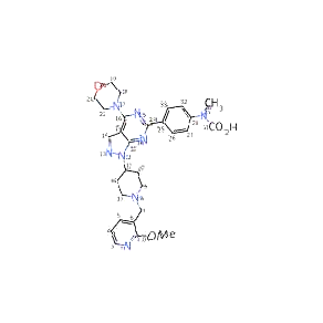 COc1ncccc1CN1CCC(n2ncc3c(N4CCOCC4)nc(-c4ccc(N(C)C(=O)O)cc4)nc32)CC1